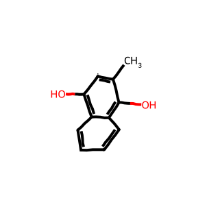 Cc1[c]c(O)c2ccccc2c1O